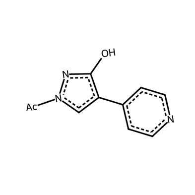 CC(=O)n1cc(-c2ccncc2)c(O)n1